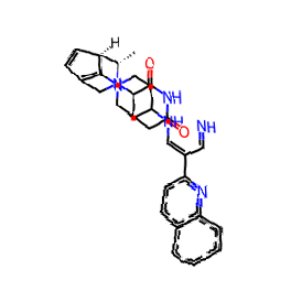 C[C@H]1[C@@H]2C=CC(=C2N2CCC(N/C=C(\C=N)c3ccc4ccccc4n3)CC2)CN1C1CCC(=O)NC1=O